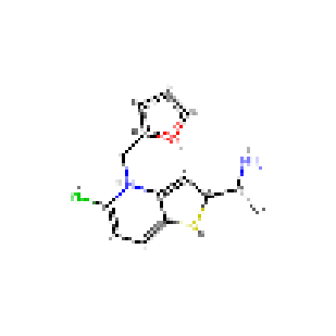 C[C@@H](N)C1C=C2C(=CC=C(Cl)N2Cc2ccco2)S1